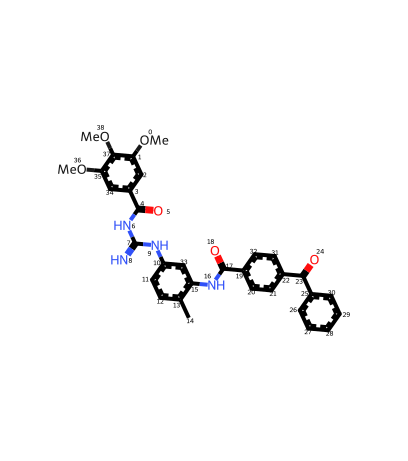 COc1cc(C(=O)NC(=N)Nc2ccc(C)c(NC(=O)c3ccc(C(=O)c4ccccc4)cc3)c2)cc(OC)c1OC